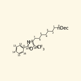 CCCCCCCCCCCCCCCCCc1nc(-c2ccccc2)oc1C(F)(F)F